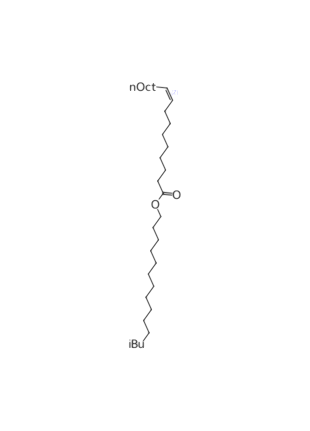 CCCCCCCC/C=C\CCCCCCCC(=O)OCCCCCCCCCCCC(C)CC